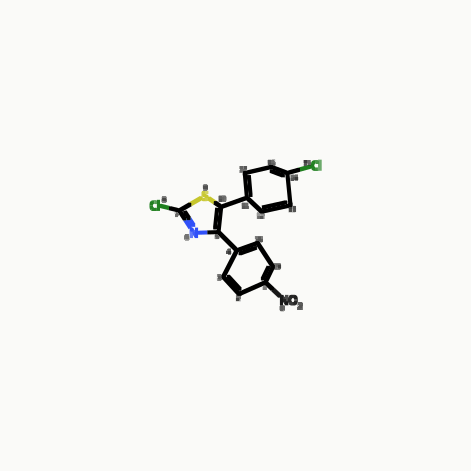 O=[N+]([O-])c1ccc(-c2nc(Cl)sc2-c2ccc(Cl)cc2)cc1